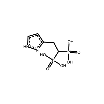 O=P(O)(O)C(Cc1cc[nH]n1)P(=O)(O)O